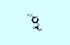 CCCC(=O)O[C@@H]1CC[C@H](C)OC1